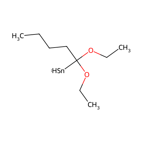 CCCC[C]([SnH])(OCC)OCC